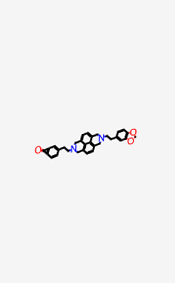 O=c1c2ccc(CCN3Cc4ccc5c6c(ccc(c46)C3)CN(CCc3ccc4c(c3)OCO4)C5)cc12